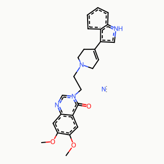 COc1cc2ncn(CCN3CC=C(c4c[nH]c5ccccc45)CC3)c(=O)c2cc1OC.[N]